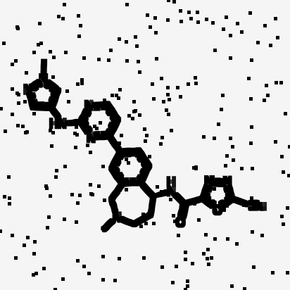 CN1CC[C@H](NC(=O)c2nnc(C(C)(C)C)o2)c2ccc(-c3ccnc(Nc4cnn(C)c4)n3)cc2C1